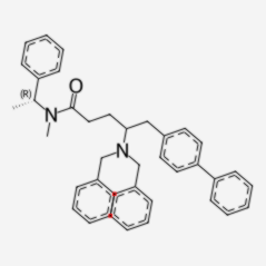 C[C@H](c1ccccc1)N(C)C(=O)CCC(Cc1ccc(-c2ccccc2)cc1)N(Cc1ccccc1)Cc1ccccc1